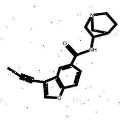 CC#Cc1coc2ccc(C(=O)NC3CN4CCC3C4)cc12